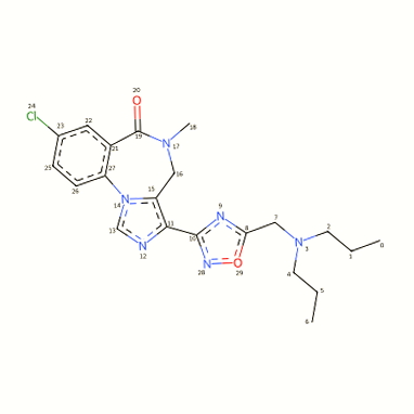 CCCN(CCC)Cc1nc(-c2ncn3c2CN(C)C(=O)c2cc(Cl)ccc2-3)no1